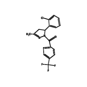 CC1=NN(C(=O)c2ccc(C(F)(F)F)cc2)C(c2ccccc2Cl)C1